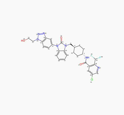 O=C(N[C@H]1CC[C@H](Cn2c(=O)n(-c3ccc4c(c3)nnn4CCO)c3ccccc32)CC1)c1cc(Cl)cnc1C(F)F